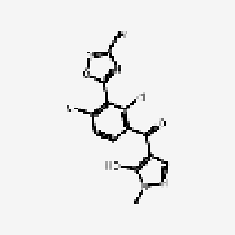 CC(C)c1noc(-c2c(Cl)ccc(C(=O)c3cnn(C)c3O)c2Cl)n1